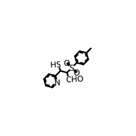 Cc1ccc(S(=O)(=O)C(C=O)C(S)c2ccccn2)cc1